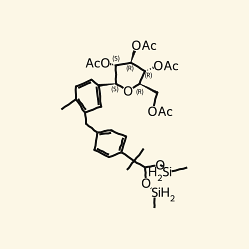 C[SiH2]OC(O[SiH2]C)C(C)(C)c1ccc(Cc2cc([C@@H]3O[C@H](COC(C)=O)[C@@H](OC(C)=O)[C@H](OC(C)=O)[C@H]3OC(C)=O)ccc2C)cc1